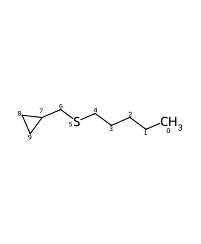 CCCCCSCC1CC1